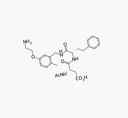 CC(=O)N[C@@H](CC(=O)O)C(=O)N[C@@H](CCc1ccccc1)C(=O)NCc1cc(OCCN)ccc1C